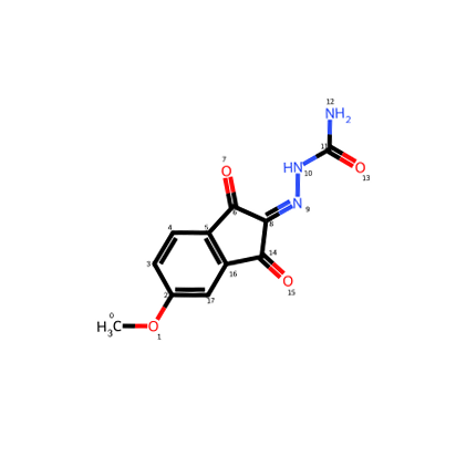 COc1ccc2c(=O)/c(=N\NC(N)=O)c(=O)c2c1